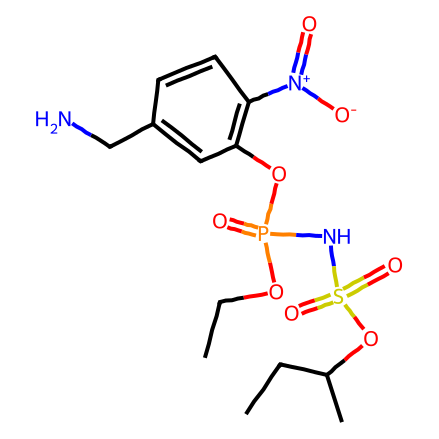 CCOP(=O)(NS(=O)(=O)OC(C)CC)Oc1cc(CN)ccc1[N+](=O)[O-]